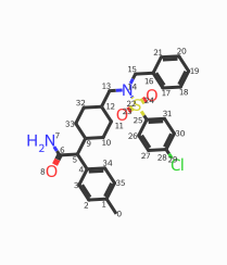 Cc1ccc(C(C(N)=O)C2CCC(CN(Cc3ccccc3)S(=O)(=O)c3ccc(Cl)cc3)CC2)cc1